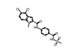 Cn1c(C(=O)Nc2ccc(C(=O)NS(C)(=O)=O)cc2)cc2c(Cl)c(Cl)ccc21